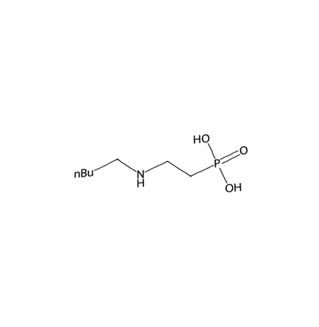 CCCCCNCCP(=O)(O)O